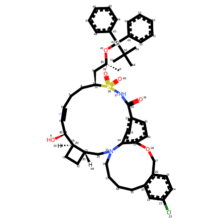 C[C@H](C[C@@H]1CC/C=C\[C@H](O)[C@@H]2CC[C@H]2CN2CCCCc3cc(Cl)ccc3COc3ccc(cc32)C(=O)NS1(=O)=O)O[Si](c1ccccc1)(c1ccccc1)C(C)(C)C